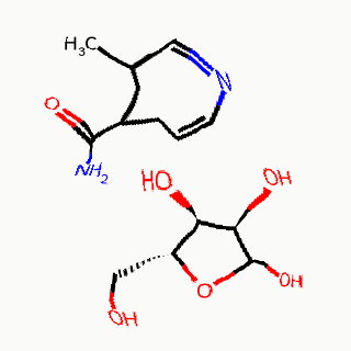 CC1C=NC=CC1C(N)=O.OC[C@H]1OC(O)[C@H](O)[C@@H]1O